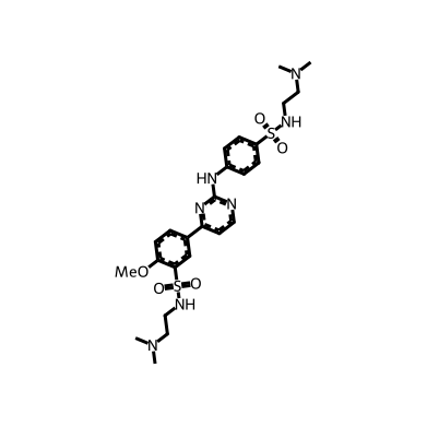 COc1ccc(-c2ccnc(Nc3ccc(S(=O)(=O)NCCN(C)C)cc3)n2)cc1S(=O)(=O)NCCN(C)C